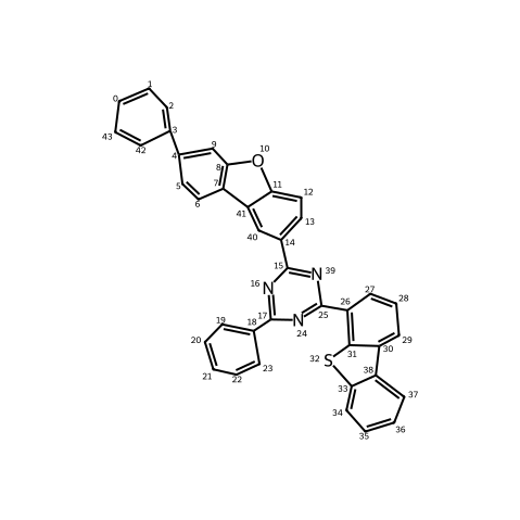 c1ccc(-c2ccc3c(c2)oc2ccc(-c4nc(-c5ccccc5)nc(-c5cccc6c5sc5ccccc56)n4)cc23)cc1